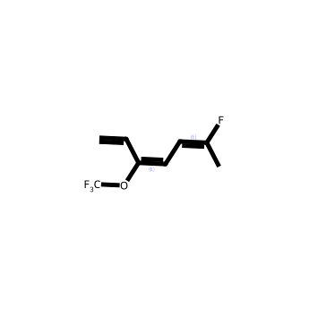 C=C/C(=C\C=C(/C)F)OC(F)(F)F